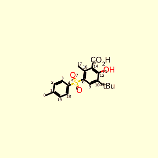 Cc1ccc(S(=O)(=O)c2cc(C(C)(C)C)c(O)c(C(=O)O)c2C)cc1